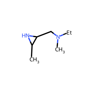 CCN(C)CC1NC1C